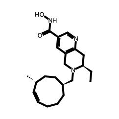 CC[C@@H]1Cc2ncc(C(=O)NO)cc2CN1C[C@H]1CCC/C=C\[C@H](C)CC1